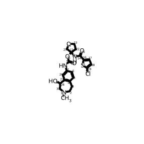 CN1CCc2ccc(NC(=O)OC3(NC(=O)c4ccc(Cl)s4)CCOC3)cc2C(O)C1